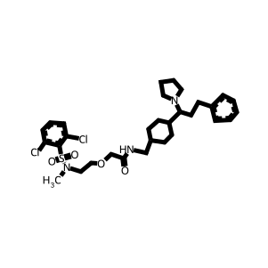 CN(CCOCC(=O)NCC1CCC(C(CCc2ccccc2)N2CCCC2)CC1)S(=O)(=O)c1c(Cl)cccc1Cl